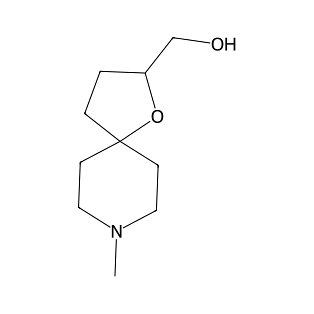 CN1CCC2(CCC(CO)O2)CC1